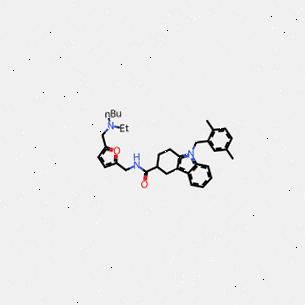 CCCCN(CC)Cc1ccc(CNC(=O)C2CCc3c(c4ccccc4n3Cc3cc(C)ccc3C)C2)o1